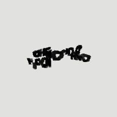 O=CN(c1cccc(CN2CCC(C(=O)NC3CCCC3)CC2)c1)c1cc(C(F)(F)F)ccn1